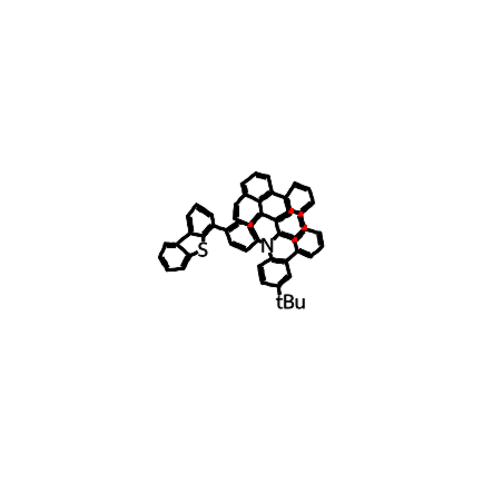 CC(C)(C)c1ccc(N(c2ccc(-c3cccc4c3sc3ccccc34)cc2)c2ccccc2-c2cccc3cccc(-c4ccccc4)c23)c(-c2ccccc2)c1